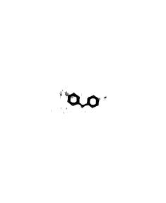 CCOc1ccc(C(=O)c2ccc(N(C)C)cc2OC)c(C(=O)O)c1